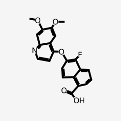 COc1cc2nccc(Oc3ccc4c(C(=O)O)cccc4c3F)c2cc1OC